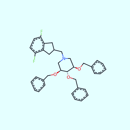 Fc1ccc(F)c2c1CC(CN1C[C@H](OCc3ccccc3)[C@@H](OCc3ccccc3)[C@H](OCc3ccccc3)C1)C2